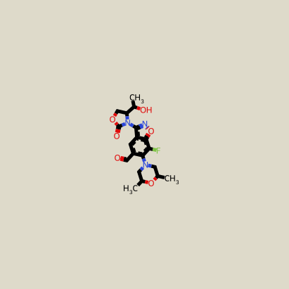 CC1CN(c2c(C=O)cc3c(N4C(=O)OCC4C(C)O)noc3c2F)CC(C)O1